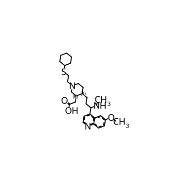 CNC(CC[C@@H]1CCN(CCSC2CCCCC2)C[C@@H]1CC(=O)O)c1ccnc2ccc(OC)cc12